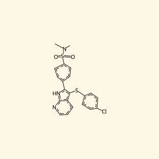 CN(C)S(=O)(=O)c1ccc(-c2[nH]c3ncccc3c2Sc2ccc(Cl)cc2)cc1